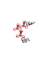 [Ca+2].[Ca+2].[Ca+2].[Gd+3].[O-]B([O-])[O-].[O-]B([O-])[O-].[O-]B([O-])[O-]